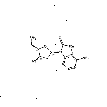 Nc1ncnc2c1[nH]c(=O)n2[C@H]1C[C@@H](O)[C@@H](CO)O1